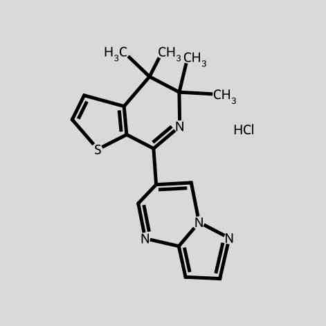 CC1(C)N=C(c2cnc3ccnn3c2)c2sccc2C1(C)C.Cl